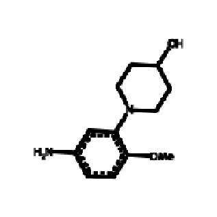 COc1ccc(N)cc1N1CCC(O)CC1